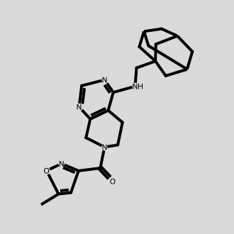 Cc1cc(C(=O)N2CCc3c(ncnc3NCC34CC5CC(CC(C5)C3)C4)C2)no1